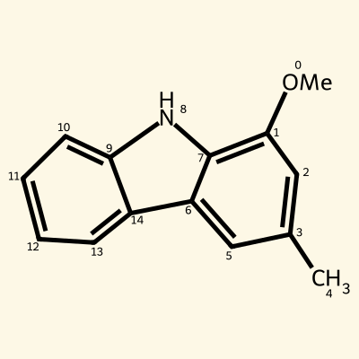 COc1cc(C)cc2c1[nH]c1ccccc12